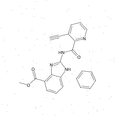 C#Cc1cccnc1C(=O)Nc1nc2c(C(=O)OC)cccc2[nH]1.c1ccccc1